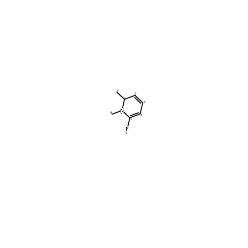 CC1C=CC=C(F)N1C